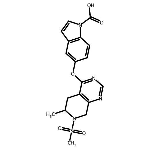 CC1Cc2c(ncnc2Oc2ccc3c(ccn3C(=O)O)c2)CN1S(C)(=O)=O